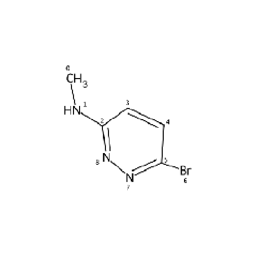 CNc1ccc(Br)nn1